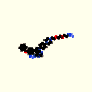 NCCOCCOCCN1CCN([C@H]2CC[C@H](n3cc(-c4ccc(Oc5ccccc5)cc4)c4c(N)ncnc43)CC2)CC1